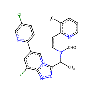 Cc1cccnc1/C=C\N(C=O)C(C)c1nnc2c(F)cc(-c3ccc(Cl)cn3)cn12